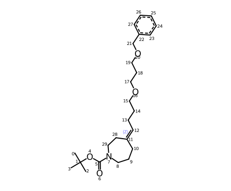 CC(C)(C)OC(=O)N1CCC/C(=C/CCCOCCCOCc2ccccc2)CC1